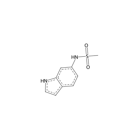 CS(=O)(=O)Nc1ccc2cc[nH]c2c1